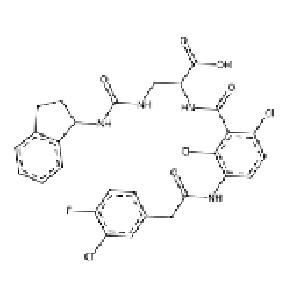 O=C(Cc1ccc(F)c(Cl)c1)Nc1ccc(Cl)c(C(=O)NC(CNC(=O)NC2CCc3ccccc32)C(=O)O)c1Cl